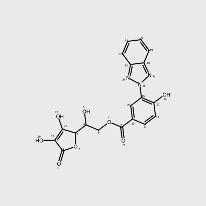 O=C1OC(C(O)COC(=O)c2ccc(O)c(-n3nc4ccccc4n3)c2)C(O)=C1O